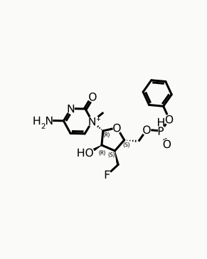 C[N+]1([C@@H]2O[C@H](CO[PH](=O)Oc3ccccc3)[C@@H](CF)[C@H]2O)C=CC(N)=NC1=O